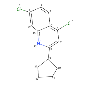 Clc1ccc2c(Cl)cc(C3CCCC3)nc2c1